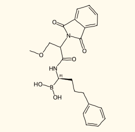 COCC(C(=O)N[C@@H](CCCc1ccccc1)B(O)O)N1C(=O)c2ccccc2C1=O